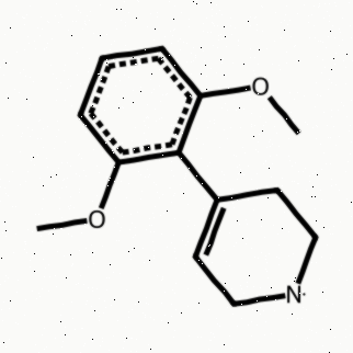 COc1cccc(OC)c1C1=CC[N]CC1